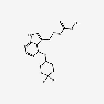 CNC(=O)C=CCc1c[nH]c2ncnc(OC3CCC(F)(F)CC3)c12